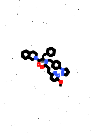 COc1ccc(C=CC(=O)N(Cc2ccc(-n3cccn3)cc2)[C@@H](Cc2ccccc2)C(=O)N2CCc3ccccc3C2)nn1